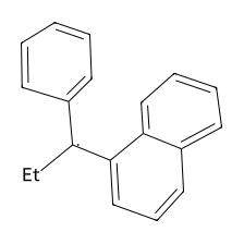 CC[C](c1ccccc1)c1cccc2ccccc12